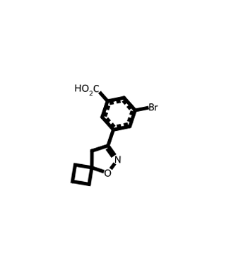 O=C(O)c1cc(Br)cc(C2=NOC3(CCC3)C2)c1